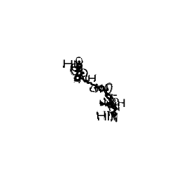 O=C1CCC(N2C(=O)c3cccc(NCCCCCCC(=O)N4CCN(C(=O)c5ccc(Nc6nc(C7CC7)cn7c(-c8cn[nH]c8)cnc67)c(F)c5)CC4)c3C2=O)C(=O)N1